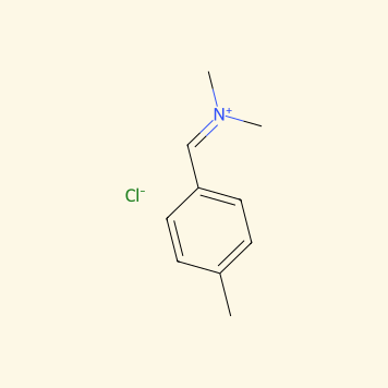 Cc1ccc(C=[N+](C)C)cc1.[Cl-]